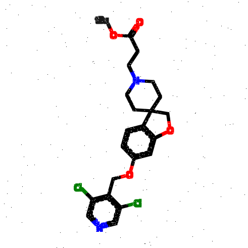 CC(C)(C)OC(=O)CCN1CCC2(CC1)COc1cc(OCc3c(Cl)cncc3Cl)ccc12